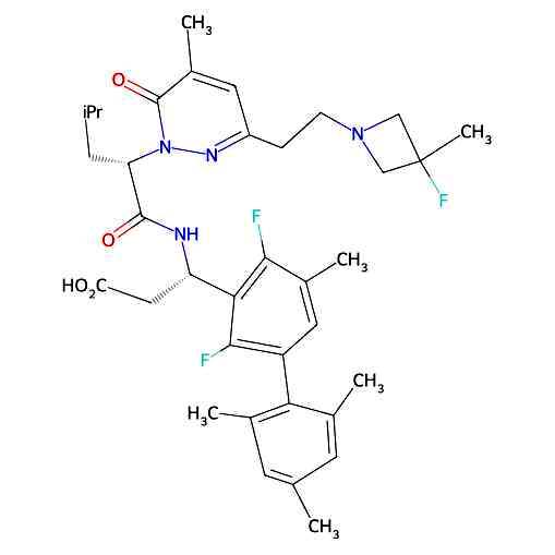 Cc1cc(C)c(-c2cc(C)c(F)c([C@H](CC(=O)O)NC(=O)[C@H](CC(C)C)n3nc(CCN4CC(C)(F)C4)cc(C)c3=O)c2F)c(C)c1